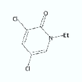 CCn1cc(Cl)cc(Cl)c1=O